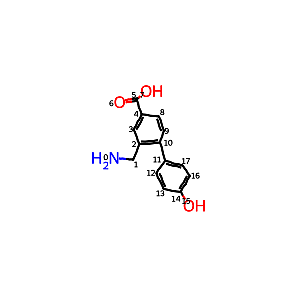 NCc1cc(C(=O)O)ccc1-c1ccc(O)cc1